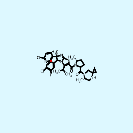 CC(C)C1=C(C(=O)N2C(C(=O)N3CC4(CC4)NC[C@@H]3C)CC[C@H]2C)SC2=N[C@@](C)(c3ccc(Cl)nc3)C(c3ccc(Cl)c(F)c3)N21